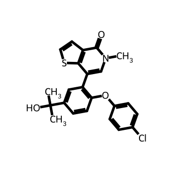 Cn1cc(-c2cc(C(C)(C)O)ccc2Oc2ccc(Cl)cc2)c2sccc2c1=O